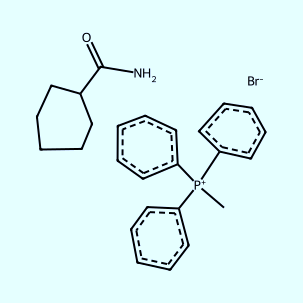 C[P+](c1ccccc1)(c1ccccc1)c1ccccc1.NC(=O)C1CCCCC1.[Br-]